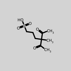 CC(=O)C(C)(CCCS(=O)(=O)O)C(C)=O